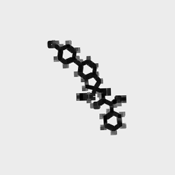 O=C(NC1(C(=O)O)Cc2ccc(-c3ccc(Cl)cc3)cc2C1)[C@@H](O)c1ccccc1